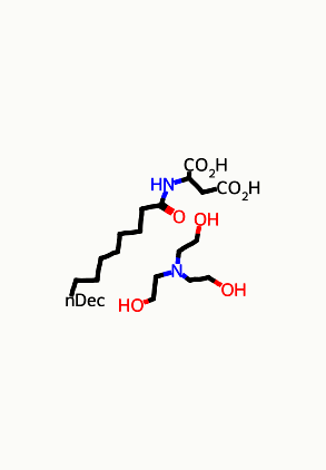 CCCCCCCCCCCCCCCCCC(=O)NC(CC(=O)O)C(=O)O.OCCN(CCO)CCO